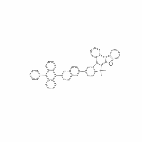 CC1(C)c2ccc(-c3ccc4cc(-c5c6ccccc6c(-c6ccccc6)c6ccccc56)ccc4c3)cc2-c2c1c1oc3ccccc3c1c1ccccc21